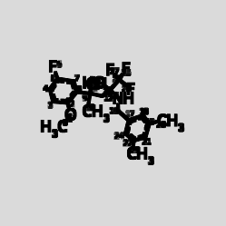 COc1ccc(F)cc1C(C)(C)CC(O)(NCc1cc(C)cc(C)c1)C(F)(F)F